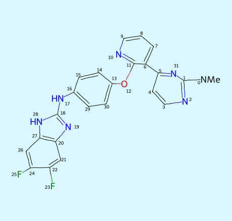 CNc1nccc(-c2cccnc2Oc2ccc(Nc3nc4cc(F)c(F)cc4[nH]3)cc2)n1